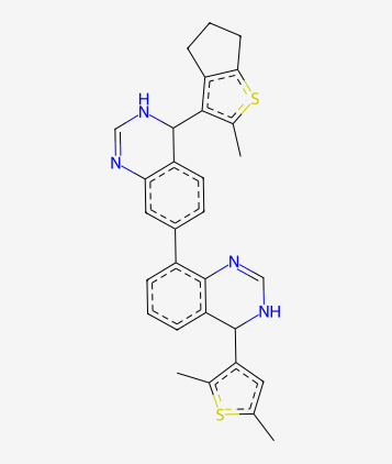 Cc1cc(C2NC=Nc3c(-c4ccc5c(c4)N=CNC5c4c(C)sc5c4CCC5)cccc32)c(C)s1